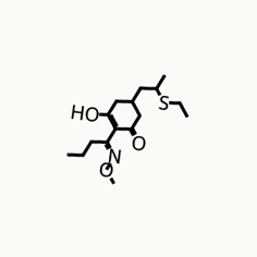 CCCC(=NOC)C1=C(O)CC(CC(C)SCC)CC1=O